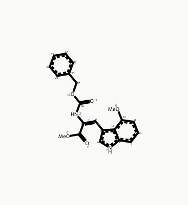 COC(=O)/C(=C\c1c[nH]c2cccc(OC)c12)NC(=O)OCc1ccccc1